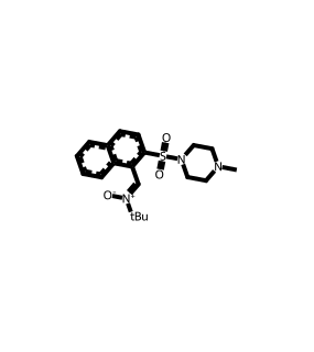 CN1CCN(S(=O)(=O)c2ccc3ccccc3c2/C=[N+](\[O-])C(C)(C)C)CC1